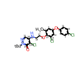 Cc1cc(Oc2ccc(Cl)cc2)cc(Cl)c1OCCNc1cnn(C(C)(C)C)c(=O)c1Cl